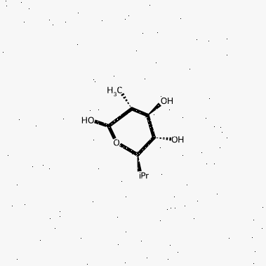 CC(C)[C@H]1OC(O)[C@H](C)[C@@H](O)[C@@H]1O